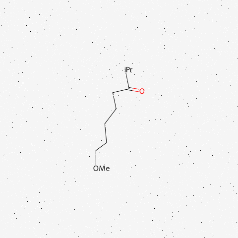 COCCCCCC(=O)C(C)C